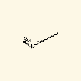 C=C(CCSC(C)(C)SCCOCCCCCCCCCCCC)C(=O)O